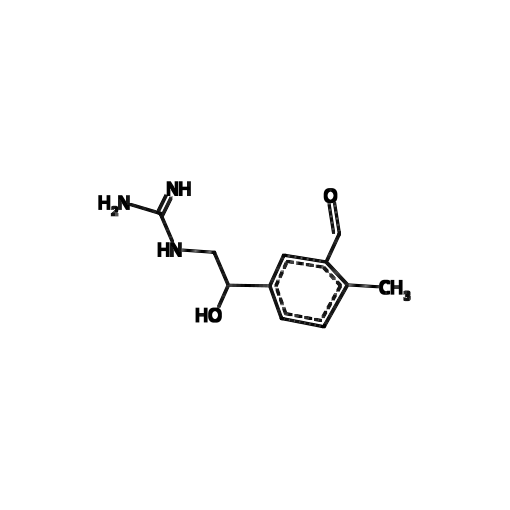 Cc1ccc(C(O)CNC(=N)N)cc1C=O